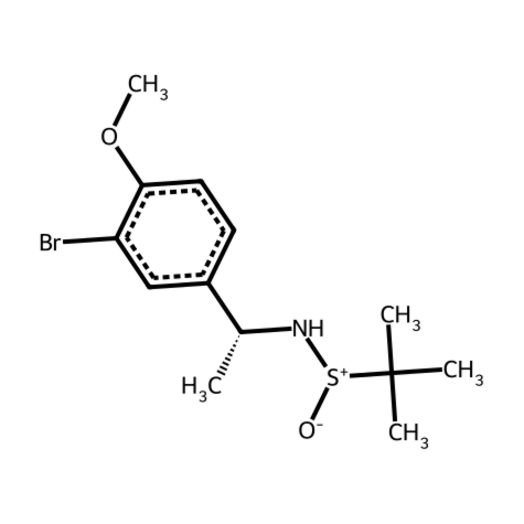 COc1ccc([C@@H](C)N[S+]([O-])C(C)(C)C)cc1Br